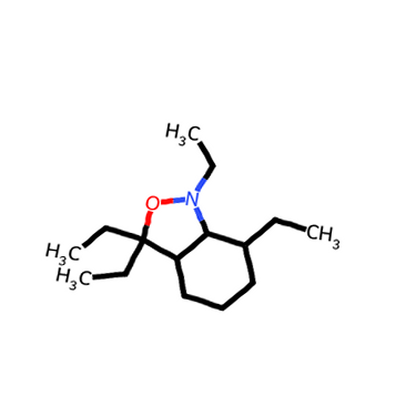 CCC1CCCC2C1N(CC)OC2(CC)CC